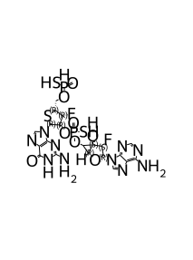 Nc1nc2c(ncn2[C@@H]2S[C@H](CO[PH](=O)S)[C@H](F)[C@H]2OP(=O)(S)OC2[C@H]3O[C@@H](n4cnc5c(N)ncnc54)[C@@H](F)[C@@]23O)c(=O)[nH]1